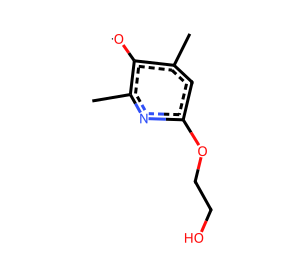 Cc1cc(OCCO)nc(C)c1[O]